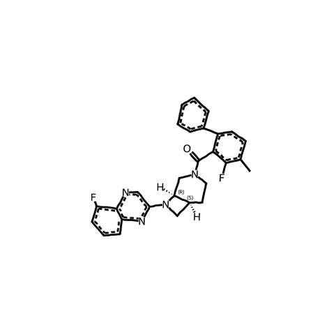 Cc1ccc(-c2ccccc2)c(C(=O)N2CC[C@H]3CN(c4cnc5c(F)cccc5n4)[C@H]3C2)c1F